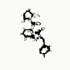 Cc1ccc(Cn2nc3n(c2=O)[C@@H](C(=O)N2CCC[C@@H]2C)CCC3)cc1